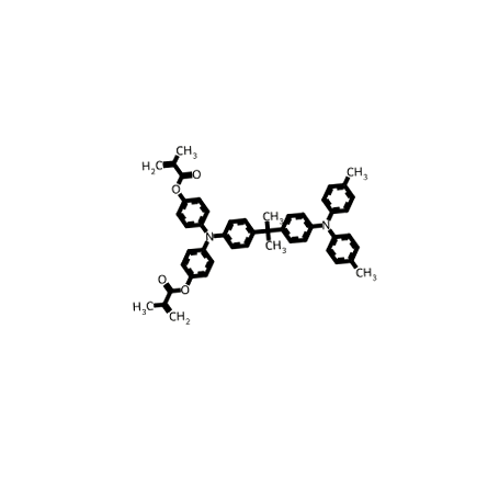 C=C(C)C(=O)Oc1ccc(N(c2ccc(OC(=O)C(=C)C)cc2)c2ccc(C(C)(C)c3ccc(N(c4ccc(C)cc4)c4ccc(C)cc4)cc3)cc2)cc1